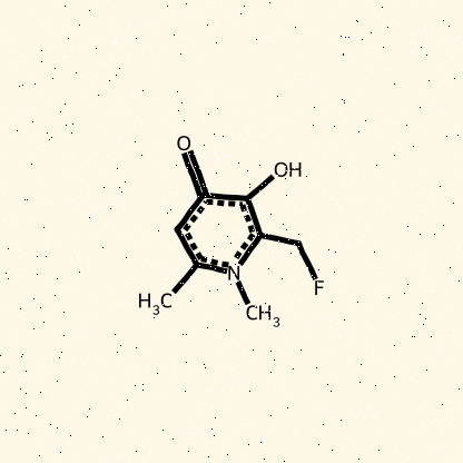 Cc1cc(=O)c(O)c(CF)n1C